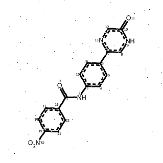 O=C(Nc1ccc(-c2c[nH]c(=O)cn2)cc1)c1ccc([N+](=O)[O-])cc1